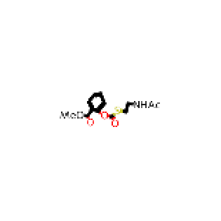 COC(=O)c1ccccc1OC(=O)SCCNC(C)=O